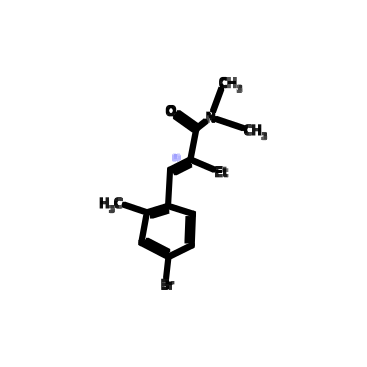 CC/C(=C\c1ccc(Br)cc1C)C(=O)N(C)C